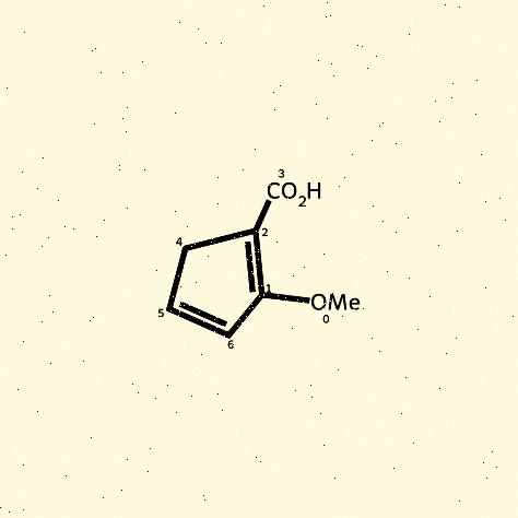 COC1=C(C(=O)O)CC=C1